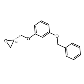 c1ccc(COc2cccc(OC[C@@H]3CO3)c2)cc1